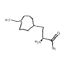 CN1CCC(C[C@H](N)C(=O)O)CC1